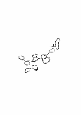 CC1(C)c2cc(-c3ccc(-c4ccc(-c5nc(-c6ccccc6)cc(-c6ccccc6-c6ccccc6)n5)c5ccccc45)c4ccccc34)ccc2-c2ccc3ccccc3c21